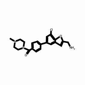 CN1CCN(C(=O)c2ccc(-c3cc(Cl)c4oc(CN)cc4c3)cc2)CC1